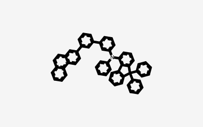 c1ccc(N(c2cccc(-c3cccc(-c4ccc5c(ccc6ccccc65)c4)c3)c2)c2cccc3c2-c2ccccc2C3(c2ccccc2)c2ccccc2)cc1